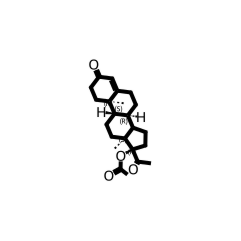 CC(=O)O[C@]1(C(C)=O)CCC2[C@@H]3CCC4=CC(=O)CC[C@]4(C)[C@H]3CC[C@@]21C